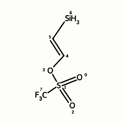 O=S(=O)(OC=C[SiH3])C(F)(F)F